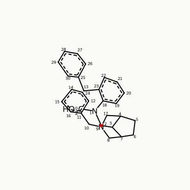 O=C(O)N(CC1C2CCC1CN(Cc1ccccc1)C2)c1ccccc1Cc1ccccc1